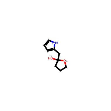 OC1(Cc2ccc[nH]2)CCCO1